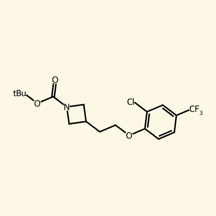 CC(C)(C)OC(=O)N1CC(CCOc2ccc(C(F)(F)F)cc2Cl)C1